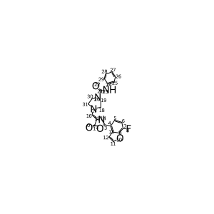 O=C1OC(c2ccc(F)c3occc23)=NC1=CN1CCN(C(=O)Nc2ccccc2)CC1